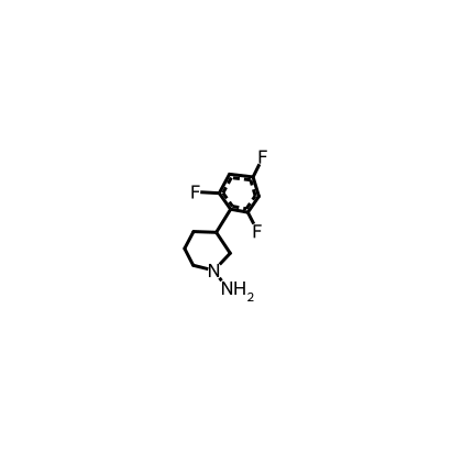 NN1CCCC(c2c(F)cc(F)cc2F)C1